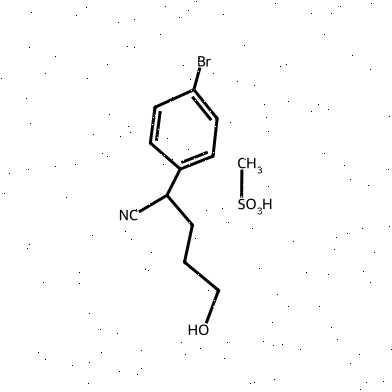 CS(=O)(=O)O.N#CC(CCCO)c1ccc(Br)cc1